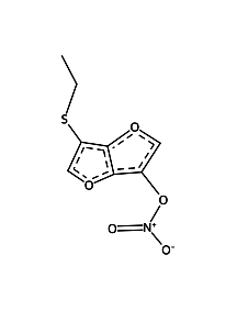 CCSc1coc2c(O[N+](=O)[O-])coc12